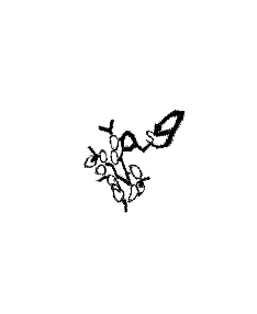 CC(=O)OCC1OC(c2cc(CC3Cc4ccccc4S3)ccc2OC(C)C)[C@H](OC(C)=O)C(OC(C)=O)[C@@H]1OC(C)=O